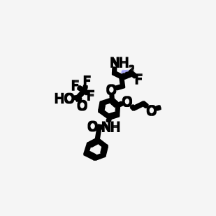 COCCOc1cc(NC(=O)c2ccccc2)ccc1OC/C(=C\F)CN.O=C(O)C(F)(F)F